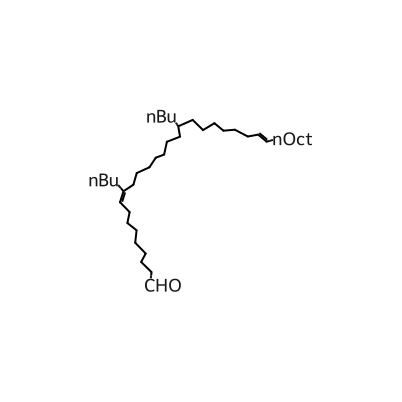 CCCCCCCC/C=C/CCCCCCC(CCCC)CCCCCCC/C(=C\CCCCCCCC=O)CCCC